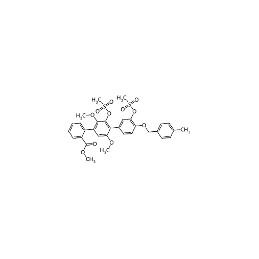 COC(=O)c1ccccc1-c1cc(OC)c(-c2ccc(OCc3ccc(C)cc3)c(OS(C)(=O)=O)c2)c(OS(C)(=O)=O)c1OC